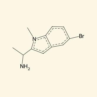 CC(N)c1cc2cc(Br)ccc2n1C